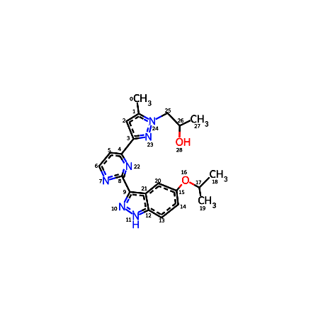 Cc1cc(-c2ccnc(-c3n[nH]c4ccc(OC(C)C)cc34)n2)nn1CC(C)O